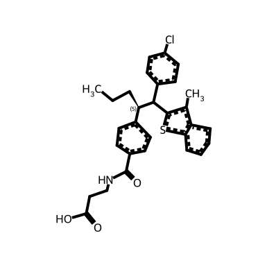 CCC[C@H](c1ccc(C(=O)NCCC(=O)O)cc1)C(c1ccc(Cl)cc1)c1sc2ccccc2c1C